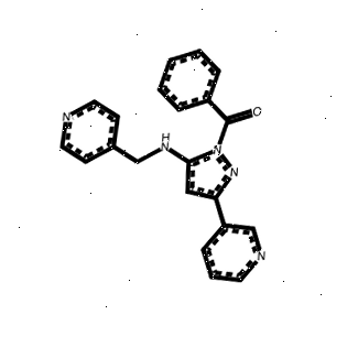 O=C(c1ccccc1)n1nc(-c2cccnc2)cc1NCc1ccncc1